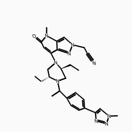 CC[C@H]1CN(C(C)c2ccc(-c3cn(C)nn3)cc2)[C@H](CC)CN1c1cc(=O)n(C)c2cn(CC#N)nc12